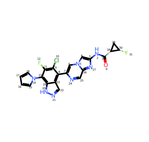 O=C(Nc1cn2cc(-c3c(Cl)c(F)c(-n4cccc4)c4[nH]ncc34)ncc2n1)[C@@H]1C[C@@H]1F